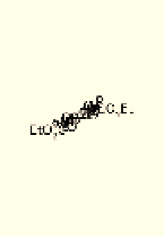 CCOC(=O)c1sc(N2C(=O)c3ccc4c5ccc6c7c(ccc(c8ccc(c3c48)C2=O)c75)C(=O)N(c2nc(-c3ccccc3)c(C(=O)OCC)s2)C6=O)nc1-c1ccccc1